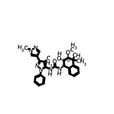 CO[C@@H]1[C@@H](O)[C@H](NC(=O)Nc2c(C)c(-c3cnn(C)c3)nn2-c2ccccc2)c2ccccc2C1(C)C